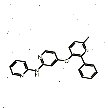 Cc1ccc(Oc2ccnc(Nc3ccccn3)c2)c(-c2ccccc2)n1